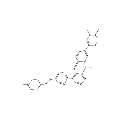 C=C(/N=C\C(=C/C)OCC1CCN(C)CC1)c1cccc(C(C)n2cc(/C(=C/C(C)=C(C)C)SC)ccc2=O)c1